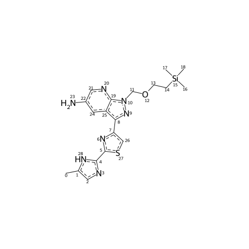 Cc1cnc(-c2nc(-c3nn(COCC[Si](C)(C)C)c4ncc(N)cc34)cs2)[nH]1